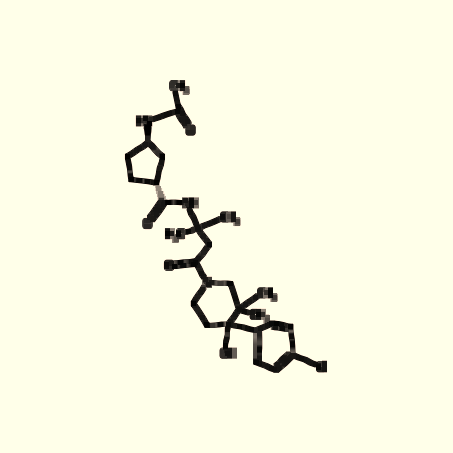 CC(=O)N[C@@H]1CC[C@@H](C(=O)NC(C)(C)CC(=O)N2CCC(O)(c3ccc(Cl)cc3)C(C)(C)C2)C1